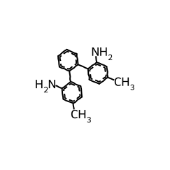 Cc1ccc(-c2ccccc2-c2ccc(C)cc2N)c(N)c1